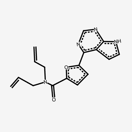 C=CCN(CC=C)C(=O)c1ccc(-c2ncnc3[nH]ccc23)o1